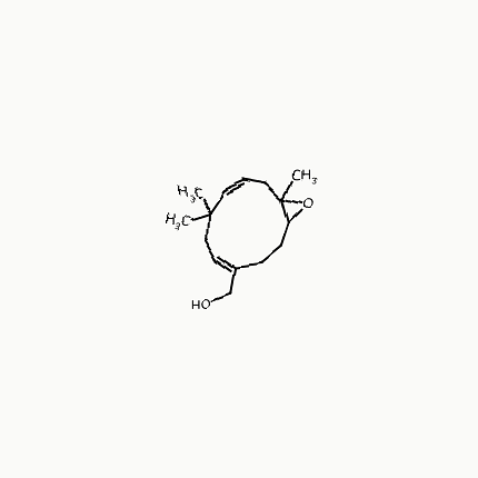 CC1(C)C=CCC2(C)OC2CCC(CO)=CC1